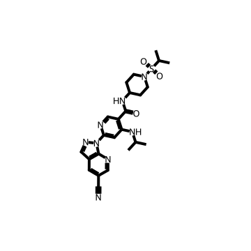 CC(C)Nc1cc(-n2ncc3cc(C#N)cnc32)ncc1C(=O)NC1CCN(S(=O)(=O)C(C)C)CC1